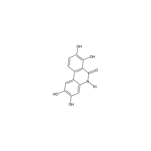 CCn1c(=O)c2c(O)c(O)ccc2c2cc(O)c(O)cc21